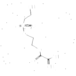 C=C(C)C(=O)OCCOS(=O)(=O)CCC